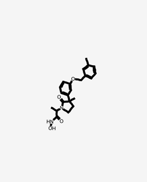 Cc1cccc(COc2cccc(C3(C)CCN(C(C)C(=O)NO)C3=O)c2)c1